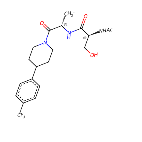 [CH2][C@H](NC(=O)[C@H](CO)NC(C)=O)C(=O)N1CCC(c2ccc(C(F)(F)F)cc2)CC1